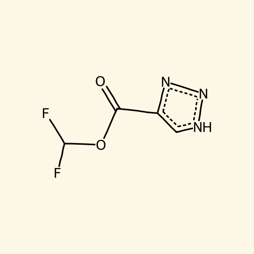 O=C(OC(F)F)c1c[nH]nn1